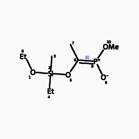 CCO[Si](C)(CC)O/C(C)=[P+](\[O-])OC